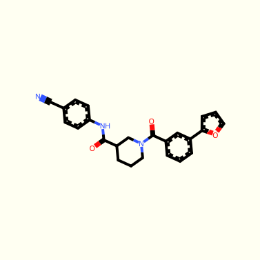 N#Cc1ccc(NC(=O)C2CCCN(C(=O)c3cccc(-c4ccco4)c3)C2)cc1